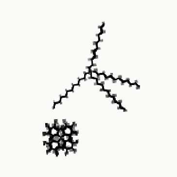 CCCCCCCCCCCC[N+](CCCCCCCCCCCC)(CCCCCCCCCCCC)CCCCCCCCCCCC.Fc1c(F)c(F)c([B-](c2c(F)c(F)c(F)c(F)c2F)(c2c(F)c(F)c(F)c(F)c2F)c2c(F)c(F)c(F)c(F)c2F)c(F)c1F